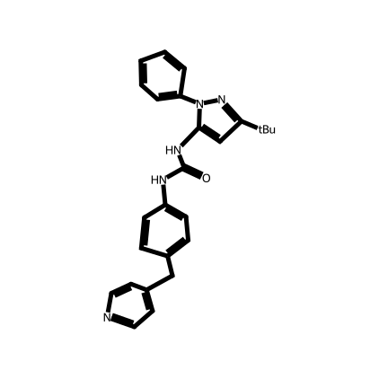 CC(C)(C)c1cc(NC(=O)Nc2ccc(Cc3ccncc3)cc2)n(-c2ccccc2)n1